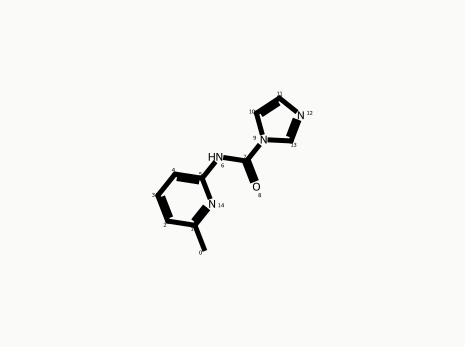 Cc1cccc(NC(=O)n2ccnc2)n1